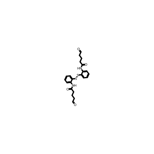 O=CCCCC(=O)Nc1ccccc1SSc1ccccc1NC(=O)CCCC=O